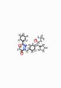 CC(C)(C)CC(=O)C(c1ccc(CN2N=C(c3ccccc3)OCC2=O)cc1)C1CCCC1